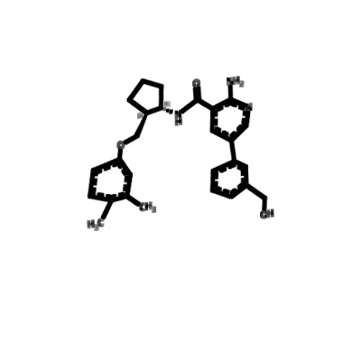 Cc1ccc(OC[C@H]2CCC[C@@H]2NC(=O)c2cc(-c3cccc(CO)c3)cnc2N)cc1C